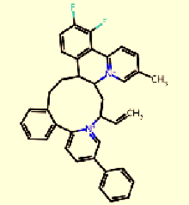 C=CC1CC2C(CCc3ccccc3-c3ccc(-c4ccccc4)c[n+]31)c1ccc(F)c(F)c1-c1ccc(C)c[n+]12